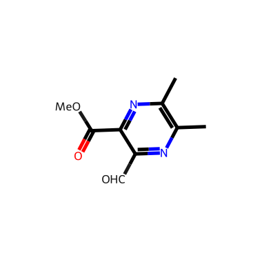 COC(=O)c1nc(C)c(C)nc1C=O